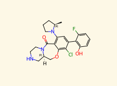 C[C@@H]1CCCN1c1cc(-c2c(O)cccc2F)c(Cl)c2c1C(=O)N1CCNC[C@@H]1CO2